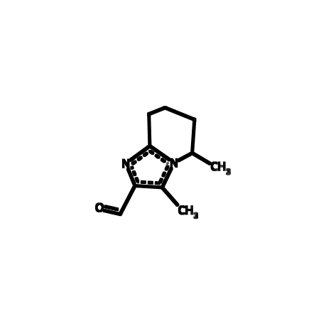 Cc1c(C=O)nc2n1C(C)CCC2